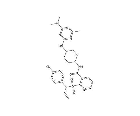 C=CC(c1ccc(Cl)cc1)S(=O)(=O)c1ncccc1C(=O)NC1CCC(Nc2nc(C)cc(N(C)C)n2)CC1